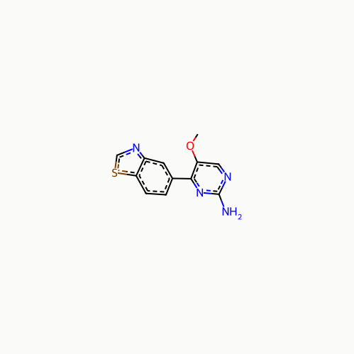 COc1cnc(N)nc1-c1ccc2scnc2c1